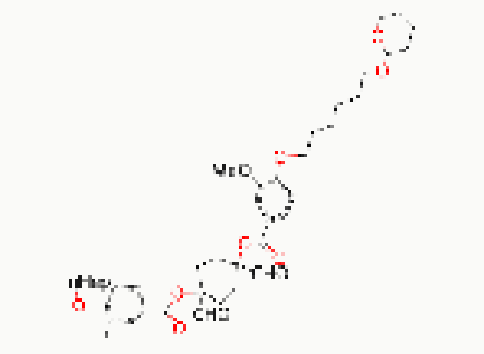 CCCCCCCOc1ccc(C(=O)OC2(C=O)CCC(C=O)(OC(=O)c3ccc(OCCCCCCOC4CCCCO4)c(OC)c3)CC2)cc1C